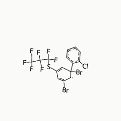 FC(F)(F)C(F)(F)C(F)(F)SC1=CC(Br)(c2ccccc2Cl)[CH]C(Br)=C1